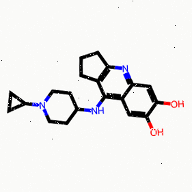 Oc1cc2nc3c(c(NC4CCN(C5CC5)CC4)c2cc1O)CCC3